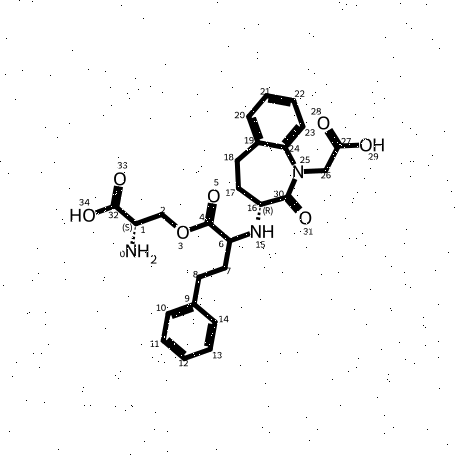 N[C@@H](COC(=O)C(CCc1ccccc1)N[C@@H]1CCc2ccccc2N(CC(=O)O)C1=O)C(=O)O